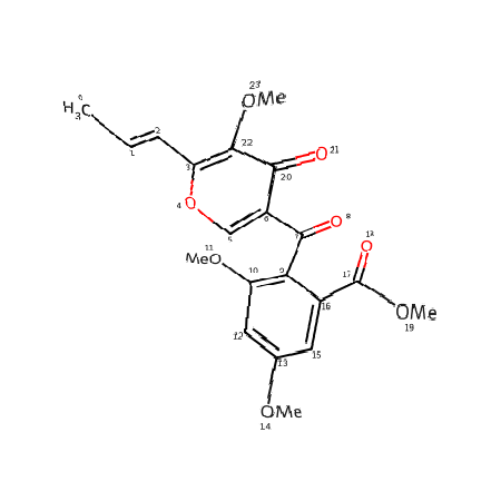 C/C=C/c1occ(C(=O)c2c(OC)cc(OC)cc2C(=O)OC)c(=O)c1OC